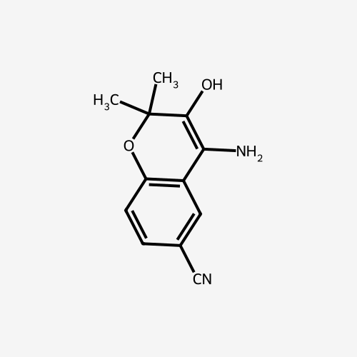 CC1(C)Oc2ccc(C#N)cc2C(N)=C1O